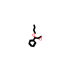 CCCCOC(c1ccccc1)C1CO1